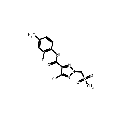 Cc1ccc(NC(=O)c2nn(CS(C)(=O)=O)nc2Cl)c(F)c1